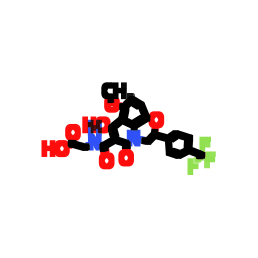 COc1ccc2c3c1c(O)c(C(=O)NCC(=O)O)c(=O)n3CC(c1ccc(C(F)(F)F)cc1)O2